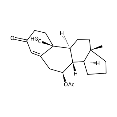 CC(=O)O[C@H]1CC2=CC(=O)CC[C@]2(CO)[C@H]2CC[C@]3(C)CCC[C@H]3[C@H]12